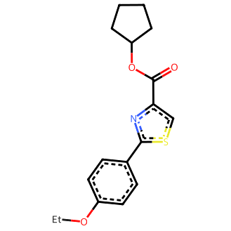 CCOc1ccc(-c2nc(C(=O)OC3CCCC3)cs2)cc1